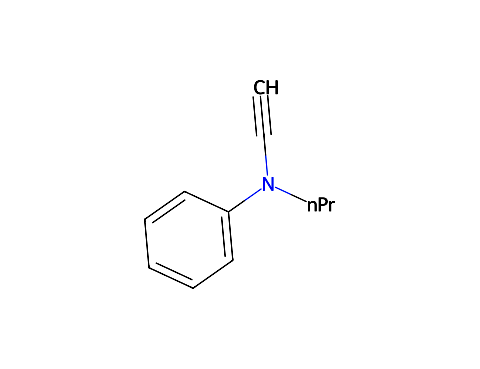 C#CN(CCC)c1ccccc1